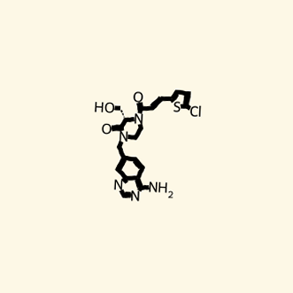 Nc1ncnc2cc(CN3CCN(C(=O)C=Cc4ccc(Cl)s4)[C@@H](CO)C3=O)ccc12